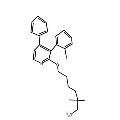 CC(C)(CN)CCCCOc1nccc(-c2ccccc2)c1-c1ccccc1F